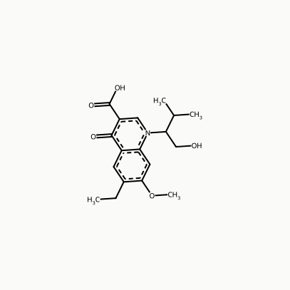 CCc1cc2c(=O)c(C(=O)O)cn(C(CO)C(C)C)c2cc1OC